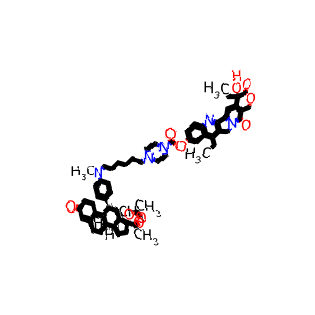 CCc1c2c(nc3ccc(OC(=O)N4CCN(CCCCCCN(C)c5ccc([C@H]6C[C@@]7(C)[C@@H](CC[C@]7(OC(C)=O)C(C)=O)[C@@H]7CCC8=CC(=O)CCC8=C76)cc5)CC4)cc13)-c1cc3c(c(=O)n1C2)COC(=O)[C@]3(O)CC